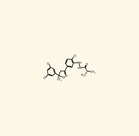 CN(C)C(=O)NNc1cc(C2=NOC(c3cc(Cl)cc(Cl)c3)(C(F)(F)F)C2)ccc1Cl